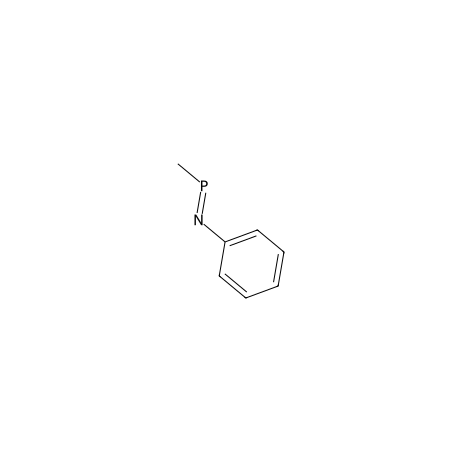 CP=Nc1ccccc1